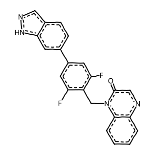 O=c1cnc2ccccc2n1Cc1c(F)cc(-c2ccc3cn[nH]c3c2)cc1F